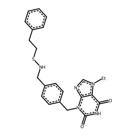 CCn1cnc2c1c(=O)[nH]c(=O)n2Cc1ccc(CNSCCc2ccccc2)cc1